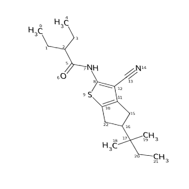 CCC(CC)C(=O)Nc1sc2c(c1C#N)CC(C(C)(C)CC)C2